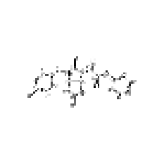 Cc1ccc(Cn2c(C)c(C(=O)C(=O)Nc3ccncc3)c3sc(C)cc32)cc1